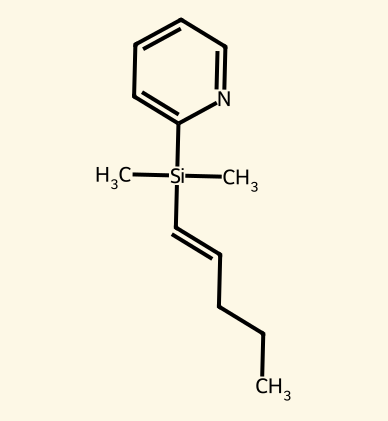 CCCC=C[Si](C)(C)c1ccccn1